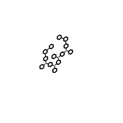 c1ccc(-c2cccc(-c3ccc(N(c4ccccc4)c4ccc(N(c5ccccc5)c5cccc(N(c6ccccc6)c6ccc(N(c7ccccc7)c7ccc(-c8cccc(-c9ccccc9)c8)cc7)cc6)c5)cc4)cc3)c2)cc1